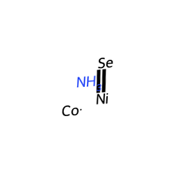 N.[Co].[Ni]=[Se]